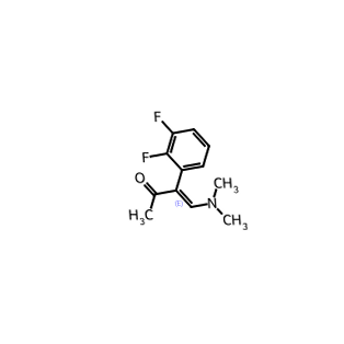 CC(=O)/C(=C/N(C)C)c1cccc(F)c1F